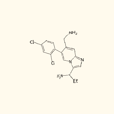 CCC(N)c1cnc2cc(CN)c(-c3ccc(Cl)cc3Cl)cn12